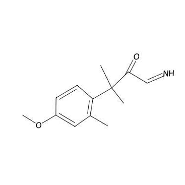 COc1ccc(C(C)(C)C(=O)C=N)c(C)c1